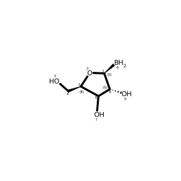 B[C@@H]1O[C@H](CO)C(O)[C@H]1O